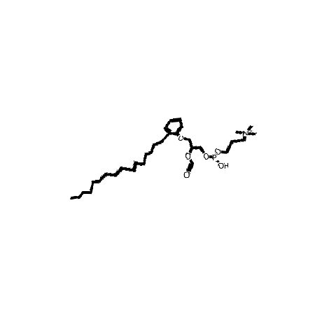 CCCCCCCCCCCCCCCCc1ccccc1OCC(COP(O)OCCC[N+](C)(C)C)OC=O